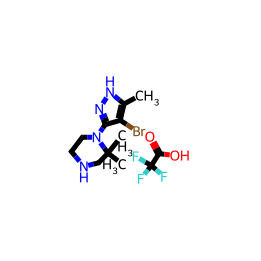 Cc1[nH]nc(N2CCNCC2(C)C)c1Br.O=C(O)C(F)(F)F